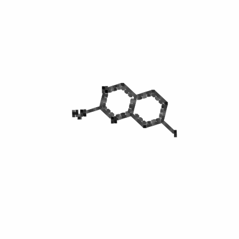 Nc1ncc2ccc(I)cc2n1